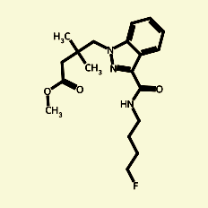 COC(=O)CC(C)(C)Cn1nc(C(=O)NCCCCF)c2ccccc21